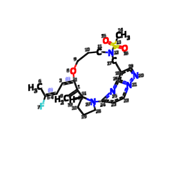 C=C1/C(=C\C=C(/C)F)OCCCN(S(C)(=O)=O)Cc2cnn3ccc(nc23)N2CCC[C@H]12